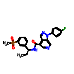 CC[C@H](NC(=O)c1cncc2c1cnn2-c1ccc(F)cc1)c1cccc(S(C)(=O)=O)c1